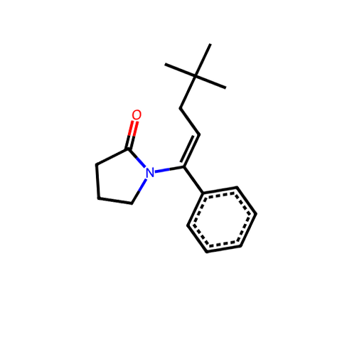 CC(C)(C)C/C=C(/c1ccccc1)N1CCCC1=O